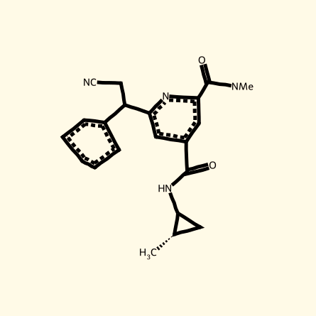 CNC(=O)c1cc(C(=O)NC2C[C@@H]2C)cc(C(CC#N)c2ccccc2)n1